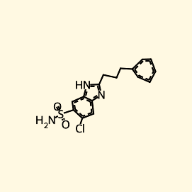 NS(=O)(=O)c1cc2[nH]c(CCCc3ccccc3)nc2cc1Cl